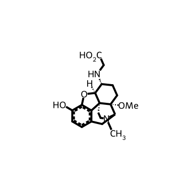 CO[C@@]12CC[C@@H](NCC(=O)O)[C@@H]3Oc4c(O)ccc5c4[C@@]31CCN(C)C2C5